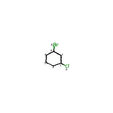 ClC1CCCC(Br)C1